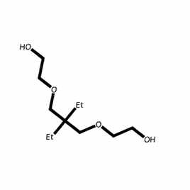 CCC(CC)(COCCO)COCCO